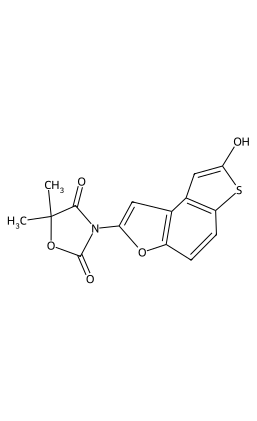 CC1(C)OC(=O)N(c2cc3c(ccc4sc(O)cc43)o2)C1=O